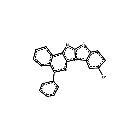 Brc1ccc2sc3nc4c5ccccc5c(-c5ccccc5)nc4n3c2c1